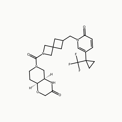 O=C1CO[C@H]2CCN(C(=O)N3CC4(CC(Cn5cc(C6(C(F)(F)F)CC6)ccc5=O)C4)C3)C[C@H]2N1